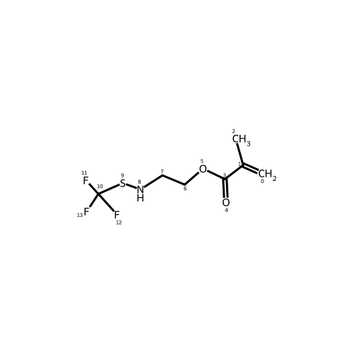 C=C(C)C(=O)OCCNSC(F)(F)F